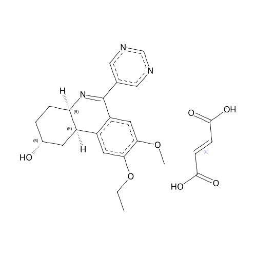 CCOc1cc2c(cc1OC)C(c1cncnc1)=N[C@@H]1CC[C@@H](O)C[C@H]21.O=C(O)/C=C/C(=O)O